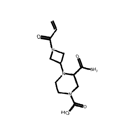 C=CC(=O)N1CC(N2CCN(C(=O)O)CC2C(N)=O)C1